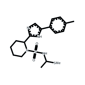 CSC(C)NS(=O)(=O)N1CCCCC1c1ncc(-c2ccc(C)cc2)[nH]1